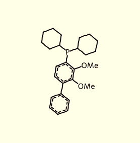 COc1c(-c2ccccc2)ccc(P(C2CCCCC2)C2CCCCC2)c1OC